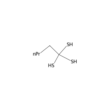 CCCCC(S)(S)S